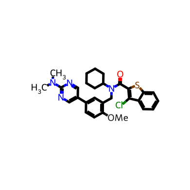 COc1ccc(-c2cnc(N(C)C)nc2)cc1CN(C(=O)c1sc2ccccc2c1Cl)C1CCCCC1